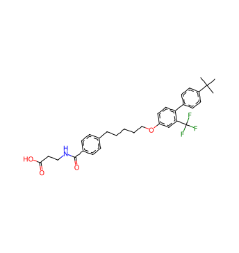 CC(C)(C)c1ccc(-c2ccc(OCCCCCc3ccc(C(=O)NCCC(=O)O)cc3)cc2C(F)(F)F)cc1